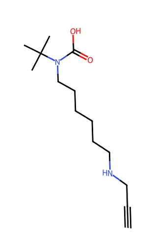 C#CCNCCCCCCN(C(=O)O)C(C)(C)C